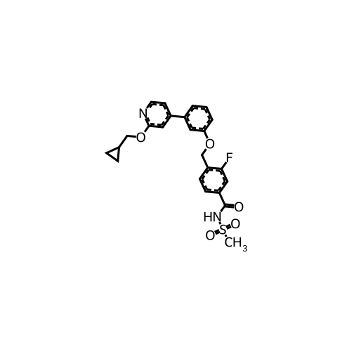 CS(=O)(=O)NC(=O)c1ccc(COc2cccc(-c3ccnc(OCC4CC4)c3)c2)c(F)c1